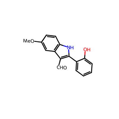 COc1ccc2[nH]c(-c3ccccc3O)c(C=O)c2c1